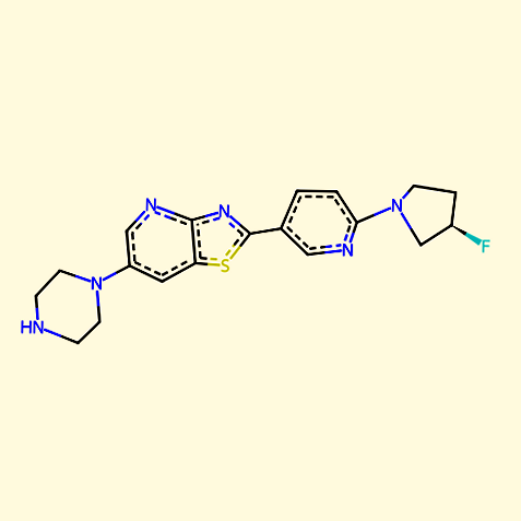 F[C@@H]1CCN(c2ccc(-c3nc4ncc(N5CCNCC5)cc4s3)cn2)C1